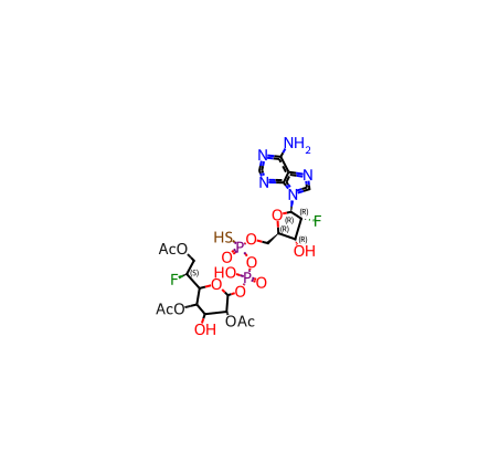 CC(=O)OC[C@H](F)C1OC(OP(=O)(O)OP(=O)(S)OC[C@H]2O[C@@H](n3cnc4c(N)ncnc43)[C@H](F)[C@@H]2O)C(OC(C)=O)C(O)C1OC(C)=O